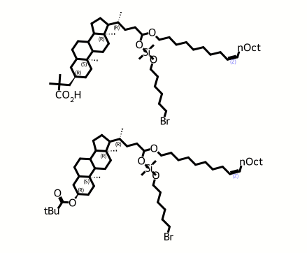 CCCCCCCC/C=C\CCCCCCCCOC(CC[C@@H](C)C1CCC2C3CCC4C[C@H](CC(C)(C)C(=O)O)CC[C@]4(C)C3CC[C@@]21C)O[Si](C)(C)OCCCCCCBr.CCCCCCCC/C=C\CCCCCCCCOC(CC[C@@H](C)C1CCC2C3CCC4C[C@H](OC(=O)C(C)(C)C)CC[C@]4(C)C3CC[C@@]21C)O[Si](C)(C)OCCCCCCBr